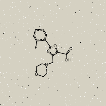 O=C(O)c1oc(-c2ccccc2F)nc1CN1CCOCC1